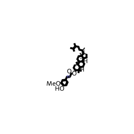 COc1cc(/C=C/C(=O)O[C@H]2CC[C@@]34C[C@@]35CC[C@]3(C)[C@@H]([C@H](C)CCC(C)=C(C)C)CC[C@@]3(C)[C@@H]5CC[C@H]4C2(C)C)ccc1O